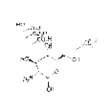 CC(=O)O.CC(=O)O.CC(=O)O.CC(=O)O.Cl.N[C@@H]1[C@@H](O)[C@H](O)[C@@H](CO)O[C@H]1O